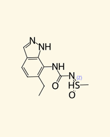 CCc1ccc2cn[nH]c2c1NC(=O)/N=[SH](/C)=O